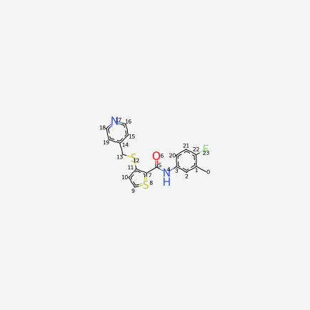 Cc1cc(NC(=O)c2sccc2SCc2ccncc2)ccc1F